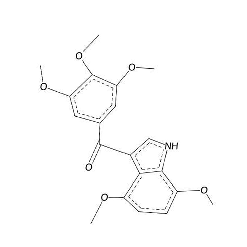 COc1cc(C(=O)c2c[nH]c3c(OC)ccc(OC)c23)cc(OC)c1OC